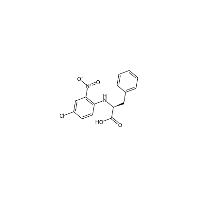 O=C(O)[C@H](Cc1ccccc1)Nc1ccc(Cl)cc1[N+](=O)[O-]